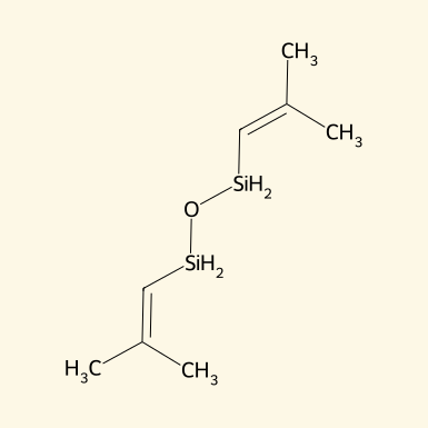 CC(C)=C[SiH2]O[SiH2]C=C(C)C